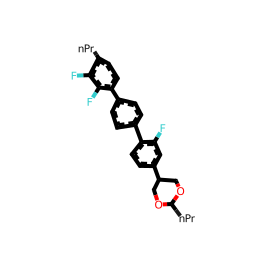 CCCc1ccc(-c2ccc(-c3ccc(C4COC(CCC)OC4)cc3F)cc2)c(F)c1F